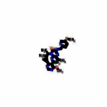 C=C(/N=C1\C(=C(C)C)N=C(NCc2ccc(SC)cn2)C(=O)N1[C@H](C)CC)c1c(OC)ncnc1C1CC1